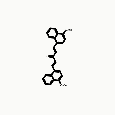 COc1ccc(/C=C/C(=O)/C=C/c2ccc(OC)c3ccccc23)c2ccccc12